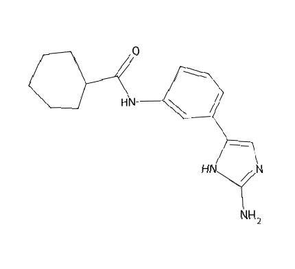 Nc1ncc(-c2cccc(NC(=O)C3CCCCC3)c2)[nH]1